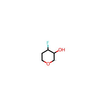 OC1[CH]OCCC1F